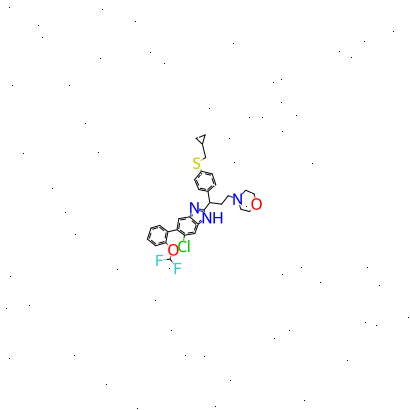 FC(F)Oc1ccccc1-c1cc2nc(C(CCN3CCOCC3)c3ccc(SCC4CC4)cc3)[nH]c2cc1Cl